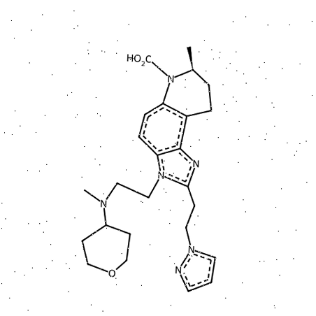 C[C@H]1CCc2c(ccc3c2nc(CCn2cccn2)n3CCN(C)C2CCOCC2)N1C(=O)O